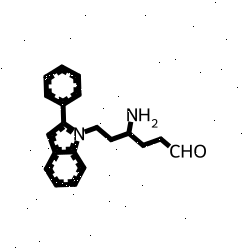 NC(CCC=O)CCn1c(-c2ccccc2)cc2ccccc21